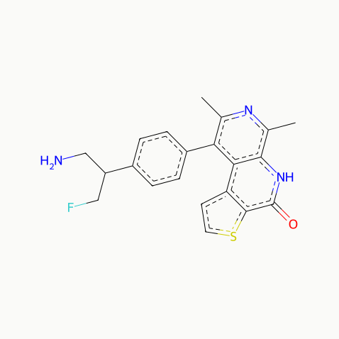 Cc1nc(C)c2[nH]c(=O)c3sccc3c2c1-c1ccc(C(CN)CF)cc1